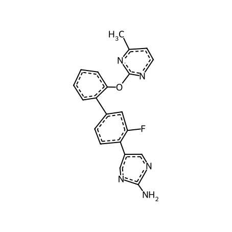 Cc1ccnc(Oc2ccccc2-c2ccc(-c3cnc(N)nc3)c(F)c2)n1